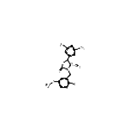 C[C@H]1C(c2cc(C(F)(F)F)cc(C(F)(F)F)c2)OC(=O)N1Cc1cc(OC(F)(F)F)ccc1I